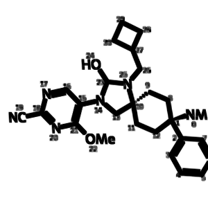 CN[C@]1(c2ccccc2)CC[C@]2(CC1)CN(c1cnc(C#N)nc1OC)C(O)N2CC1CCC1